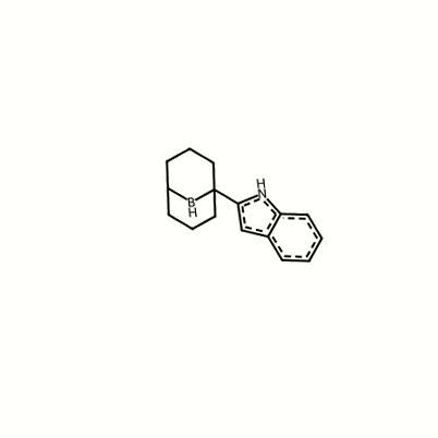 B1C2CCCC1(c1cc3ccccc3[nH]1)CCC2